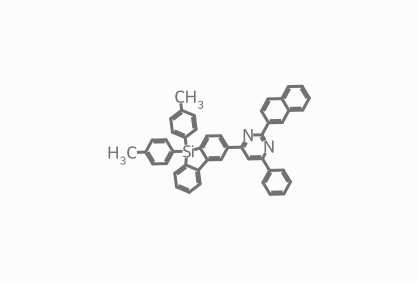 Cc1ccc([Si]2(c3ccc(C)cc3)c3ccccc3-c3cc(-c4cc(-c5ccccc5)nc(-c5ccc6ccccc6c5)n4)ccc32)cc1